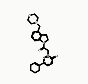 O=C(Cn1nc(C2=CCCCC2)ccc1=O)N1CCc2c(CN3CCOCC3)cccc21